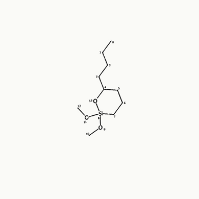 CCCCC1CCC[Si](OC)(OC)O1